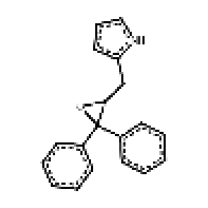 c1ccc(C2(c3ccccc3)OC2Cc2ccc[nH]2)cc1